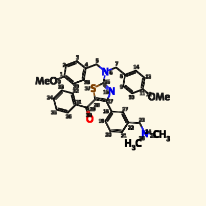 COc1ccc(CN(Cc2ccc(OC)cc2)c2nc(-c3cccc(CN(C)C)c3)c(C(=O)c3ccccc3)s2)cc1